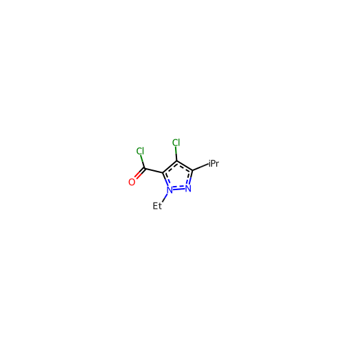 CCn1nc(C(C)C)c(Cl)c1C(=O)Cl